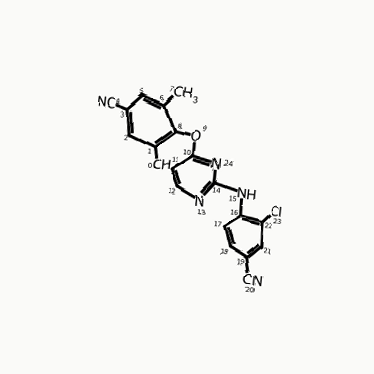 Cc1cc(C#N)cc(C)c1Oc1ccnc(Nc2ccc(C#N)cc2Cl)n1